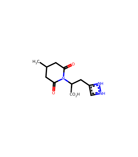 CC1CC(=O)N(C(Cc2c[nH][nH]2)C(=O)O)C(=O)C1